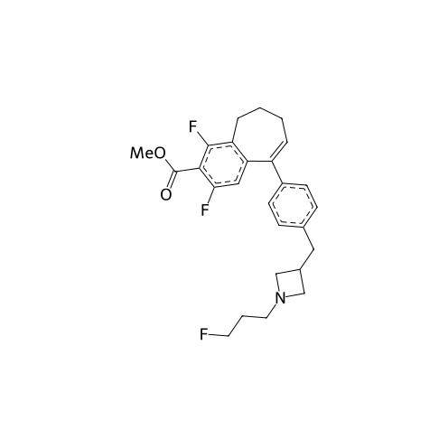 COC(=O)c1c(F)cc2c(c1F)CCCC=C2c1ccc(CC2CN(CCCF)C2)cc1